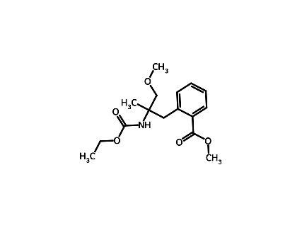 CCOC(=O)NC(C)(COC)Cc1ccccc1C(=O)OC